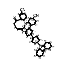 N#C/C1=C/CCC(=S)c2cc(C#N)ccc2N(C2=C(c3cccc(C4=CCC(n5c6ccccc6c6ccccc65)C=C4)c3)C=CC(C#N)C2)C1